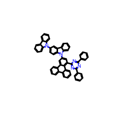 c1ccc(-c2nc(-c3ccccc3)nc(-c3cc(-n4c5ccccc5c5cc(-n6c7ccccc7c7ccccc76)ccc54)cc4c5ccccc5c5ccccc5c34)n2)cc1